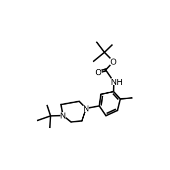 Cc1ccc(N2CCN(C(C)(C)C)CC2)cc1NC(=O)OC(C)(C)C